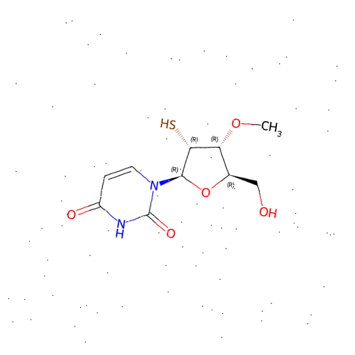 CO[C@H]1[C@@H](S)[C@H](n2ccc(=O)[nH]c2=O)O[C@@H]1CO